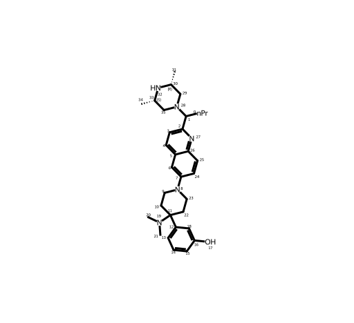 CCCC(c1ccc2cc(N3CCC(c4cccc(O)c4)(N(C)C)CC3)ccc2n1)N1C[C@@H](C)N[C@@H](C)C1